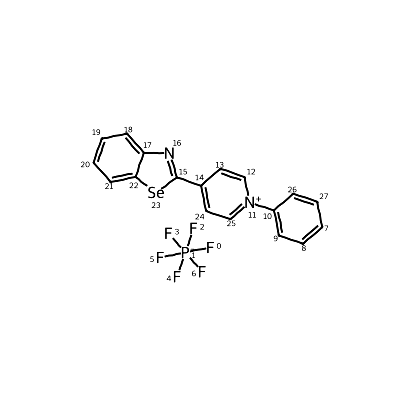 F[P-](F)(F)(F)(F)F.c1ccc(-[n+]2ccc(-c3nc4ccccc4[se]3)cc2)cc1